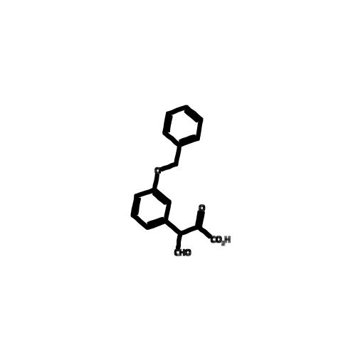 O=CC(C(=O)C(=O)O)c1cccc(OCc2ccccc2)c1